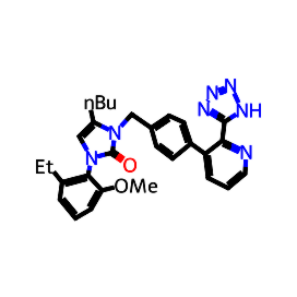 CCCCc1cn(-c2c(CC)cccc2OC)c(=O)n1Cc1ccc(-c2cccnc2-c2nnn[nH]2)cc1